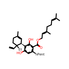 C=CC1(CC)CCC(C)=C[C@H]1c1c(O)cc(CCCCC)c(C(=O)OC/C=C(\C)CCC=C(C)C)c1O